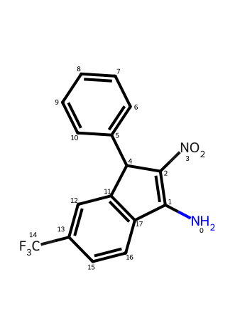 NC1=C([N+](=O)[O-])C(c2ccccc2)c2cc(C(F)(F)F)ccc21